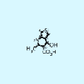 Cc1nc2cscc2c(O)c1C(=O)O